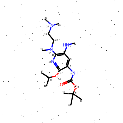 CNc1cc(NC(=O)OC(C)(C)C)c(OC(C)C)nc1N(C)CCN(C)C